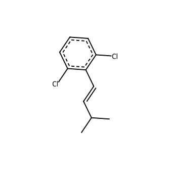 CC(C)C=Cc1c(Cl)cccc1Cl